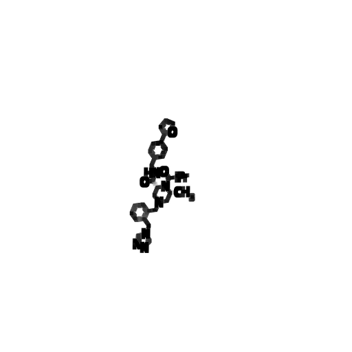 CC(C)C(=O)N1[C@H](C)CN(Cc2ccccc2Cn2cnnc2)C[C@@H]1C(=O)NCc1ccc(-c2ccco2)cc1